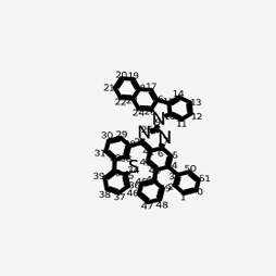 c1ccc(-c2cc3nc(-n4c5ccccc5c5cc6ccccc6cc54)nc(-c4cccc5c4sc4ccccc45)c3cc2-c2ccccc2)cc1